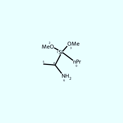 CCC[Si](OC)(OC)C(C)N